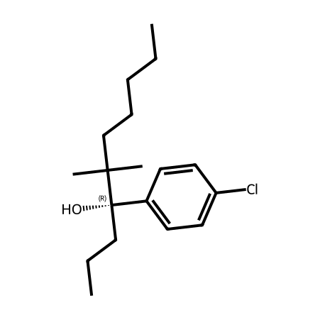 CCCCCC(C)(C)[C@](O)(CCC)c1ccc(Cl)cc1